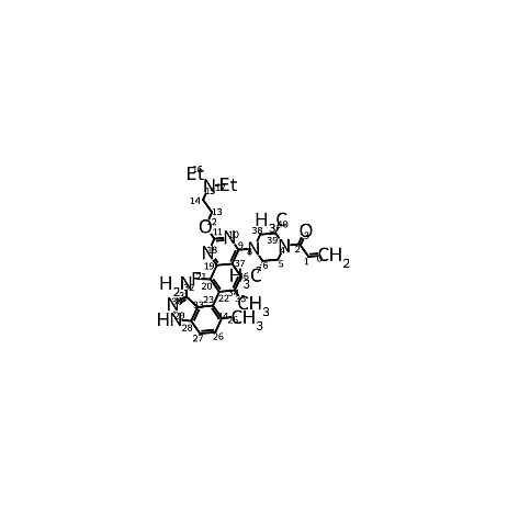 C=CC(=O)N1C[C@H](C)N(c2nc(OCCN(CC)CC)nc3c(F)c(-c4c(C)ccc5[nH]nc(N)c45)c(C)cc23)C[C@H]1C